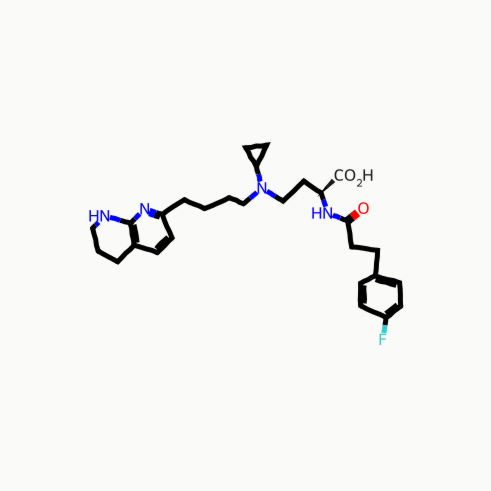 O=C(CCc1ccc(F)cc1)N[C@@H](CCN(CCCCc1ccc2c(n1)NCCC2)C1CC1)C(=O)O